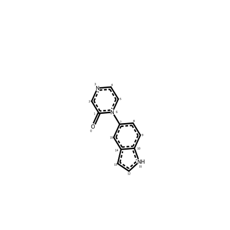 O=c1cnccn1-c1ccc2[nH]ccc2c1